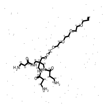 C=CCOCCOCCOCCOCCOCC(CNC(=O)CCN)(CNC(=O)CCN)CNC(=O)CCN